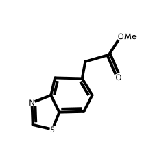 COC(=O)Cc1ccc2scnc2c1